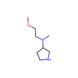 COCCN(C)C1CCNC1